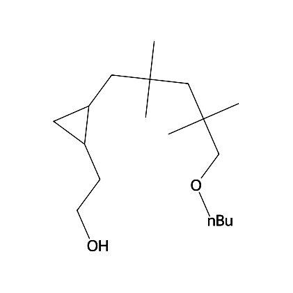 CCCCOCC(C)(C)CC(C)(C)CC1CC1CCO